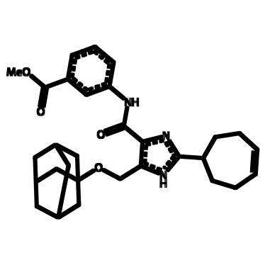 COC(=O)c1cccc(NC(=O)c2nc(C3CCC=CCC3)[nH]c2COC23CC4CC(CC(C4)C2)C3)c1